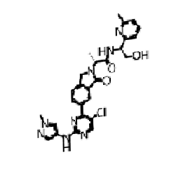 Cc1cccc([C@@H](CO)NC(=O)[C@@H](C)N2Cc3ccc(-c4nc(Nc5cnn(C)c5)ncc4Cl)cc3C2=O)n1